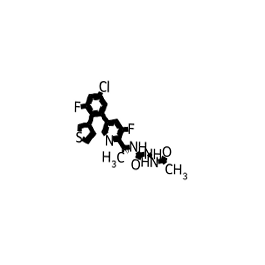 CC(=O)NNC(=O)N[C@H](C)c1ncc(-c2cc(Cl)cc(F)c2C2C=CSC2)cc1F